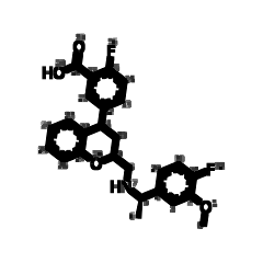 COc1cc([C@@H](C)NCC2CC(c3ccc(F)c(C(=O)O)c3)c3ccccc3O2)ccc1F